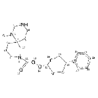 CN1CNCCC12CCCN(C(=O)OO[C@H]1CC[C@@H](c3ccccc3)CC1)C2